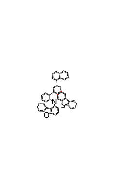 c1cc(-c2ccccc2N(c2cccc3c2sc2ccccc23)c2cccc3oc4ccccc4c23)cc(-c2cccc3ccccc23)c1